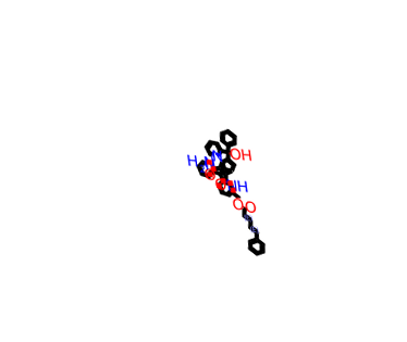 NC(=O)C1C2C(C(O)(c3ccccc3)c3ccccn3)=CC(C2=C(c2ccccc2)c2ccccn2)C1C(=O)NCCOC(=O)/C=C/C=C/c1ccccc1